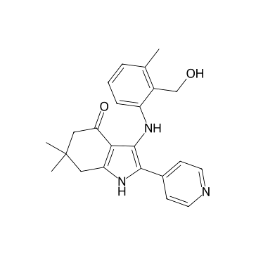 Cc1cccc(Nc2c(-c3ccncc3)[nH]c3c2C(=O)CC(C)(C)C3)c1CO